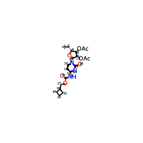 CC(=O)O[C@@H]1[C@H](OC(C)=O)[C@@H](CI)O[C@H]1n1ccc(NC(=O)OCC2CCC2)nc1=O